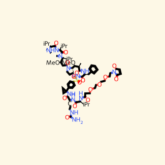 CO[C@H]([C@@H](C)C(=O)N[C@@H](Cc1ccccc1)C(=O)NS(=O)(=O)c1ccc(C2(NC(=O)[C@H](CCCNC(N)=O)NC(=O)[C@@H](NC(=O)CCOCCOCCOCCN3C(=O)C=CC3=O)C(C)C)CC2)cc1)[C@@H]1CCCN1C(=O)C[C@@H](OC)[C@H](C(C)C)N(C)C(=O)[C@@H](NC(=O)[C@H](C(C)C)N(C)C)C(C)C